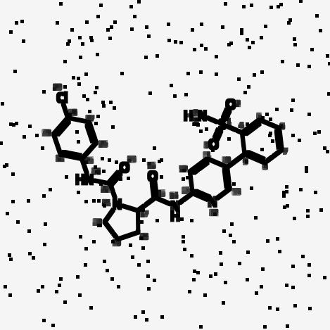 NS(=O)(=O)c1ccccc1-c1ccc(NC(=O)C2CCCN2C(=O)Nc2ccc(Cl)cc2)nc1